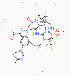 CC(=O)c1nn2c3c(cc(-c4cnc(C)nc4)cc13)C/C=C/CCCS(=O)(=O)NC[C@@]13C[C@@H](C(=O)Nc4nc(C(F)(F)F)ccc4C)N(C(=O)C2)[C@@H]1[C@@H]3C